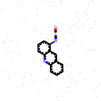 O=C=Nc1cccc2nc3ccccc3cc12